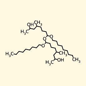 CCCCCCCCCOC(CCCC(C)CC(C)O)OC(CCCC(C)CC(C)O)OCCCCCCCCC